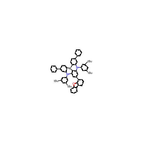 CC(C)(C)c1cc(N2c3cc(-c4ccccc4)ccc3B3c4ccc(-c5ccccc5)cc4N(c4cc(C(C)(C)C)cc(C(C)(C)C)c4)c4cc(-c5cccc6c5oc5ccccc56)cc2c43)cc(C(C)(C)C)c1